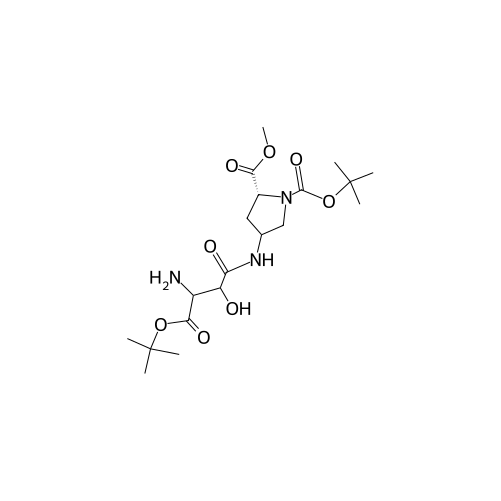 COC(=O)[C@H]1CC(NC(=O)C(O)C(N)C(=O)OC(C)(C)C)CN1C(=O)OC(C)(C)C